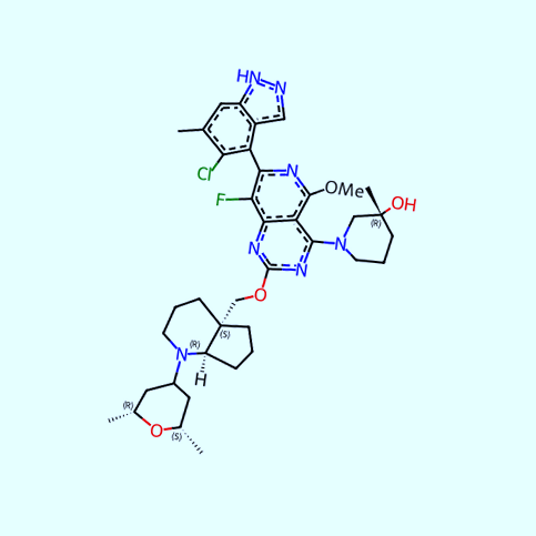 COc1nc(-c2c(Cl)c(C)cc3[nH]ncc23)c(F)c2nc(OC[C@]34CCC[C@H]3N(C3C[C@@H](C)O[C@@H](C)C3)CCC4)nc(N3CCC[C@@](C)(O)C3)c12